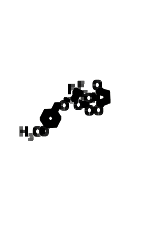 COc1ccc(COC[C@@H](OC(=O)ON2C(=O)CCC2=O)C(F)(F)F)cc1